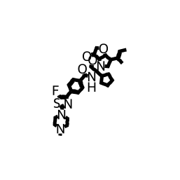 CC=C(C)C1CN(C(C=O)(NC(=O)c2ccc(-c3nc(N4CCN(C)CC4)sc3F)cc2)C2CCCC2)C2C(=O)COC12